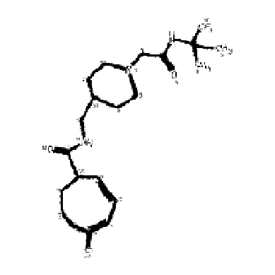 CC(C)(NC(=O)CN1CCC(CNC(=O)C2C=CC=C(Cl)CC2)CC1)C(F)(F)F